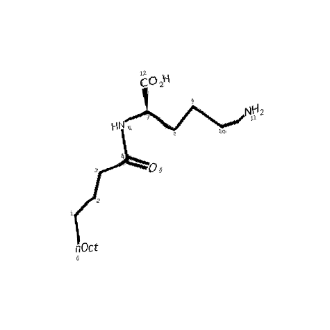 CCCCCCCCCCCC(=O)N[C@H](CCCN)C(=O)O